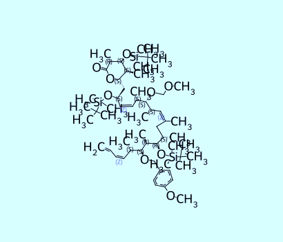 C=C/C=C\[C@H](C)[C@H](OCc1ccc(OC)cc1)[C@@H](C)[C@H](O[Si](C)(C)C(C)(C)C)[C@@H](C)C/C(C)=C\[C@H](C)[C@@H](OCOC)[C@@H](C)/C=C\[C@H](C[C@@H]1OC(=O)[C@H](C)[C@@H](O[Si](C)(C)C(C)(C)C)[C@H]1C)O[Si](C)(C)C(C)(C)C